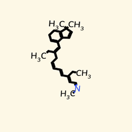 CCC(/C=C/C=C\C/C(=C/C1=CCCC2=C1C=CC2(C)C)CC)=C\C=N/C